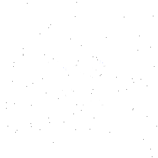 CCN1CCC2(C)CC=C(Cl)C=C2C2(CC(N)C2)C1=O